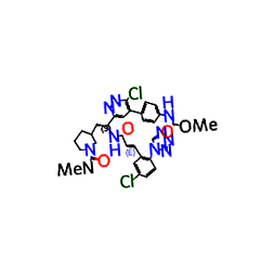 CNC(=O)N1CCCC(C[C@H](NC(=O)/C=C/c2cc(Cl)ccc2-n2cnnn2)c2cc(-c3ccc(NC(=O)OC)cc3)c(Cl)nn2)C1